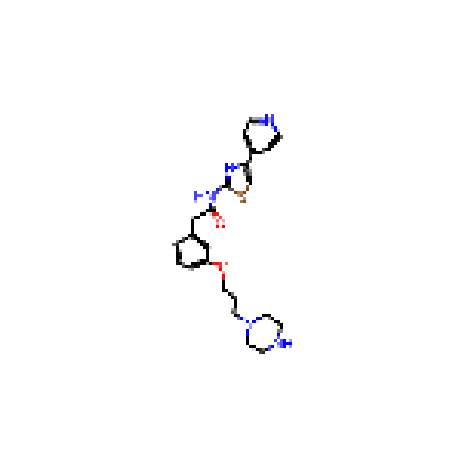 O=C(Cc1cccc(OCCCN2CCNCC2)c1)Nc1nc(-c2ccncc2)cs1